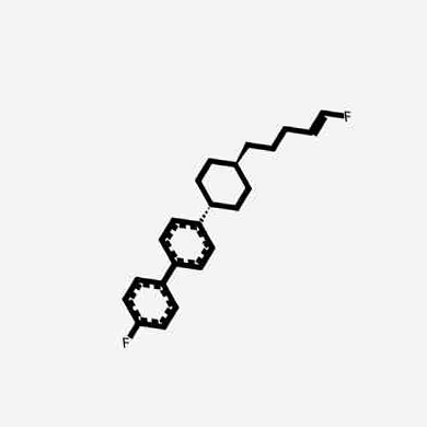 FC=CCCC[C@H]1CC[C@H](c2ccc(-c3ccc(F)cc3)cc2)CC1